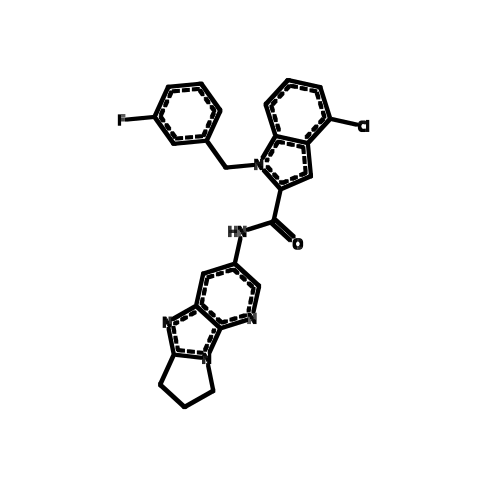 O=C(Nc1cnc2c(c1)nc1n2CCC1)c1cc2c(Cl)cccc2n1Cc1cccc(F)c1